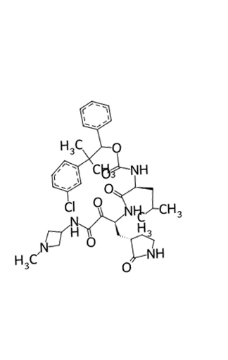 CC(C)C[C@H](NC(=O)OC(c1ccccc1)C(C)(C)c1cccc(Cl)c1)C(=O)N[C@@H](C[C@@H]1CCNC1=O)C(=O)C(=O)NC1CN(C)C1